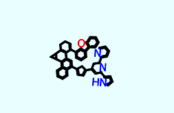 C1=C(C2=CC(c3ccc[nH]3)=NC(c3ccccn3)C2)CC(c2cc3c(c4ccccc24)C2CC2C2=C3C(c3cccc4c3oc3ccccc34)=CCC2)=C1